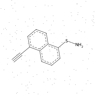 C#Cc1cccc2c(SN)cccc12